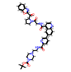 CC(C)(C)OC(=O)N1CCN(CCNC(=O)c2ccc(-c3ccc4nccc(C(=O)NCC(=O)N5CCCC5C(=O)c5nc6ccccc6o5)c4c3)cn2)CC1